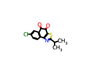 CC(C)c1nc2c(s1)C(=O)C(=O)c1cc(Cl)ccc1-2